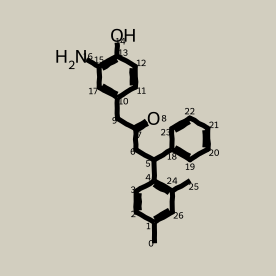 Cc1ccc(C(CC(=O)Cc2ccc(O)c(N)c2)c2ccccc2)c(C)c1